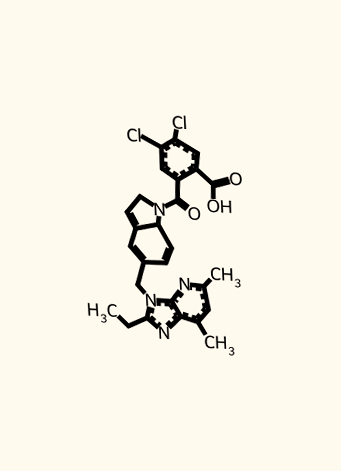 CCc1nc2c(C)cc(C)nc2n1CC1=CC2=CCN(C(=O)c3cc(Cl)c(Cl)cc3C(=O)O)C2C=C1